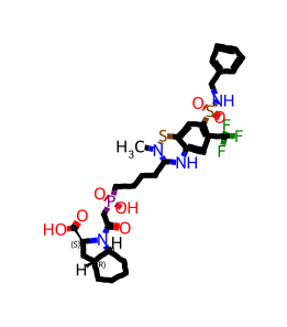 CN1Sc2cc(S(=O)(=O)NCc3ccccc3)c(C(F)(F)F)cc2NC1CCCCP(=O)(O)CC(=O)N1[C@@H]2CCCC[C@@H]2C[C@H]1C(=O)O